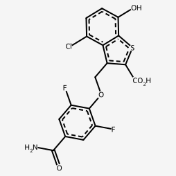 NC(=O)c1cc(F)c(OCc2c(C(=O)O)sc3c(O)ccc(Cl)c23)c(F)c1